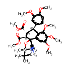 COC(=O)[C@@H]1[C@@H](c2ccc(OC)c(OC)c2)c2c(cc(OC)c(OC)c2OC)C(C#N)(O[Si](C)(C)C(C)(C)C)[C@H]1C(=O)OC